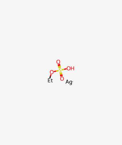 CCOS(=O)(=O)O.[Ag]